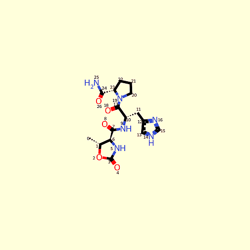 C[C@H]1OC(=O)N[C@@H]1C(=O)N[C@@H](Cc1c[nH]cn1)C(=O)N1CCC[C@H]1C(N)=O